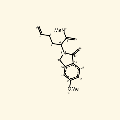 C=CCCC(C(=C)NC)N1Cc2cc(OC)ccc2C1=C